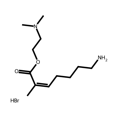 Br.CC(=CCCCCN)C(=O)OCCN(C)C